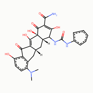 CN(C)c1ccc(O)c2c1C[C@H]1C[C@H]3C(NC(=O)Nc4ccccc4)C(O)=C(C(N)=O)C(=O)[C@@]3(O)C(O)=C1C2=O